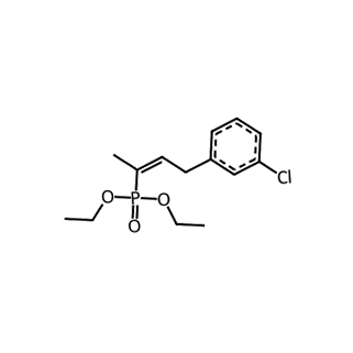 CCOP(=O)(OCC)/C(C)=C\Cc1cccc(Cl)c1